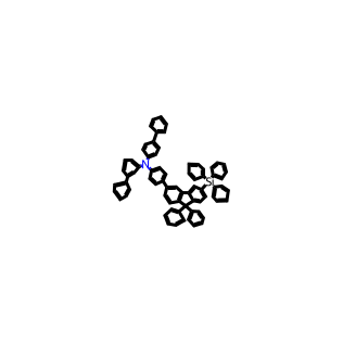 c1ccc(-c2ccc(N(c3ccc(-c4ccc5c(c4)-c4cc([Si](c6ccccc6)(c6ccccc6)c6ccccc6)ccc4C5(c4ccccc4)c4ccccc4)cc3)c3cccc(-c4ccccc4)c3)cc2)cc1